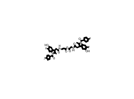 Cc1c(CC(=O)NCC(=O)OC(=O)CC[AsH]C(=O)Cc2c(C)n(C(=O)c3ccc(F)cc3)c3cc(F)c(O)cc23)c2cc(O)c(F)cc2n1C(=O)c1ccc(F)cc1